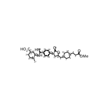 COC(=O)CCN1CCN(CC2CN(c3ccc(C(=N)NC4CC(C(=O)O)CCN4C)cc3)C(=O)O2)CC1